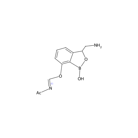 CC(=O)/N=C/Oc1cccc2c1B(O)OC2CN